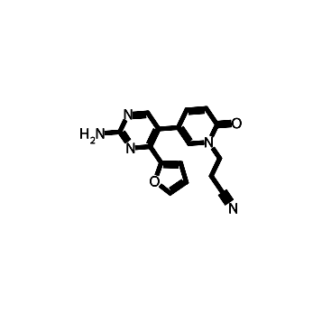 N#CCCn1cc(-c2cnc(N)nc2-c2ccco2)ccc1=O